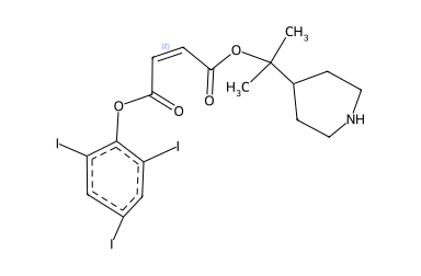 CC(C)(OC(=O)/C=C\C(=O)Oc1c(I)cc(I)cc1I)C1CCNCC1